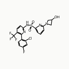 O=S(=O)(Nc1ccc(C(F)(F)F)c(-c2ccc(F)cc2Cl)n1)c1cccc(N2CC(O)C2)n1